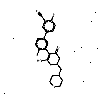 Cc1ccc(-c2ccc(F)c(C#N)c2)cc1C1=C(O)CC(CC2CCOCC2)CC1=O